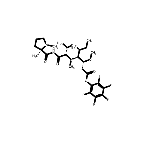 CC[C@H](C)[C@@H]([C@@H](CC(=O)Oc1c(F)c(F)c(F)c(F)c1F)OC)N(C)[C@H](C(=O)NC(=O)[C@@]1(C)CCCN1C)C(C)C